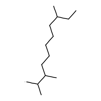 [CH2]C(C)C(C)CCCCCC(C)CC